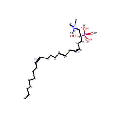 CCCCCCCC/C=C\CCCCCC/C=C\CCC(O)(C[N+](C)(C)C)P(=O)(O)O